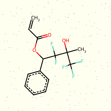 C=CC(=O)OC(c1ccccc1)C(F)(F)C(C)(O)C(F)(F)F